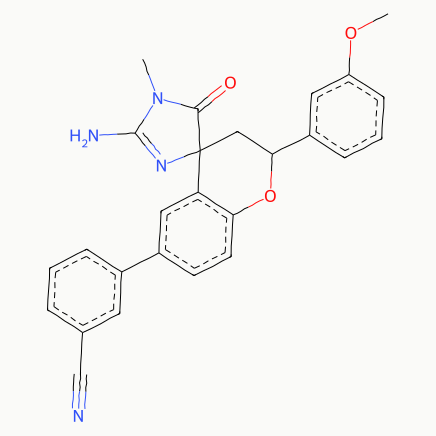 COc1cccc(C2CC3(N=C(N)N(C)C3=O)c3cc(-c4cccc(C#N)c4)ccc3O2)c1